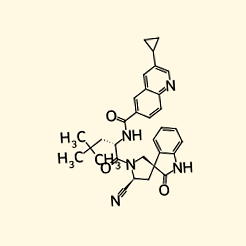 CC(C)(C)C[C@H](NC(=O)c1ccc2ncc(C3CC3)cc2c1)C(=O)N1C[C@]2(C[C@H]1C#N)C(=O)Nc1ccccc12